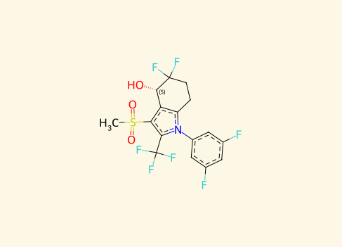 CS(=O)(=O)c1c2c(n(-c3cc(F)cc(F)c3)c1C(F)(F)F)CCC(F)(F)[C@H]2O